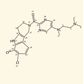 CN(C)CCN(C)c1cnc(C(=O)N2CCc3[nH]c4c(Cl)c(Cl)ccc4c3C2)nc1